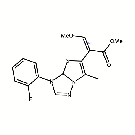 CO/C=C(/C(=O)OC)C1=C(C)N2N=CN(c3ccccc3F)C2S1